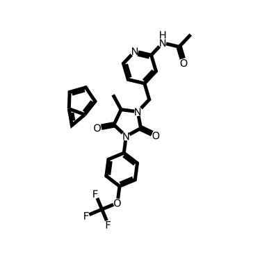 CC(=O)Nc1cc(CN2C(=O)N(c3ccc(OC(F)(F)F)cc3)C(=O)C2C)ccn1.c1cc2cc-2c1